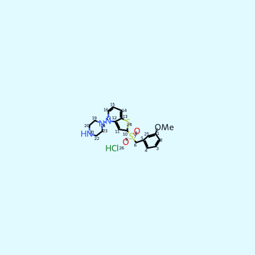 COc1cccc(CS(=O)(=O)C2C=C3C(=CC=CN3N3CCNCC3)S2)c1.Cl